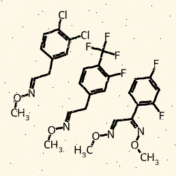 CON=CC(=NOC)c1ccc(F)cc1F.CON=CCc1ccc(C(F)(F)F)c(F)c1.CON=CCc1ccc(Cl)c(Cl)c1